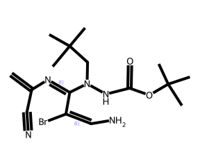 C=C(C#N)/N=C(\C(Br)=C/N)N(CC(C)(C)C)NC(=O)OC(C)(C)C